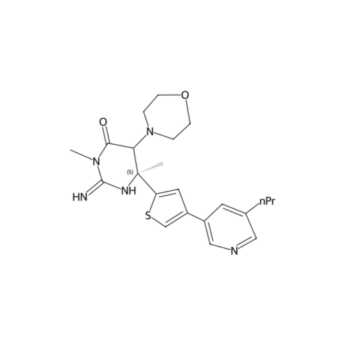 CCCc1cncc(-c2csc([C@@]3(C)NC(=N)N(C)C(=O)C3N3CCOCC3)c2)c1